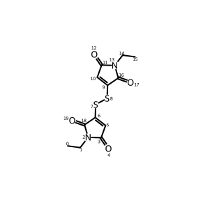 CCN1C(=O)C=C(SSC2=CC(=O)N(CC)C2=O)C1=O